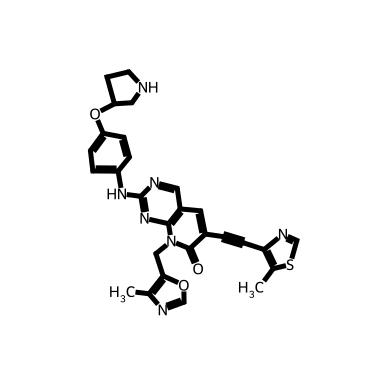 Cc1ncoc1Cn1c(=O)c(C#Cc2ncsc2C)cc2cnc(Nc3ccc(OC4CCNC4)cc3)nc21